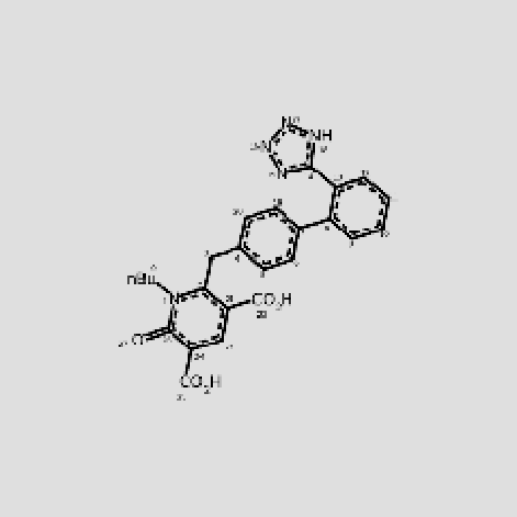 CCCCn1c(Cc2ccc(-c3ccccc3-c3nnn[nH]3)cc2)c(C(=O)O)cc(C(=O)O)c1=O